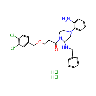 Cl.Cl.Nc1ccccc1N1CCN(C(=O)CCOCc2ccc(Cl)c(Cl)c2)C(NCc2ccccc2)C1